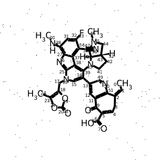 C/C=C1/CC=C(C(=O)O)C(=O)c2cc(-c3cn(Cc4oc(=O)oc4C)c4nc5c(NC)cc(F)c(C#N)c5c-4c3N3CC[C@H]4CN(C)C[C@H]43)cnc21